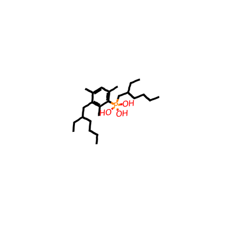 CCCCC(CC)Cc1c(C)cc(C)c(P(O)(O)(O)CC(CC)CCCC)c1C